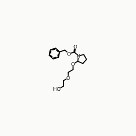 O=C(OCc1ccccc1)N1CCCC1OCCOCCO